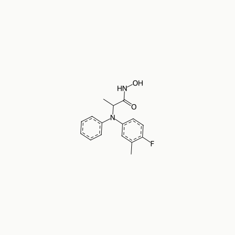 Cc1cc(N(c2ccccc2)C(C)C(=O)NO)ccc1F